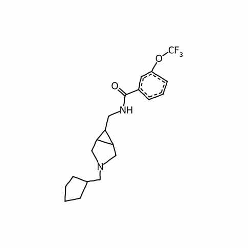 O=C(NCC1C2CN(CC3CCCC3)CC12)c1cccc(OC(F)(F)F)c1